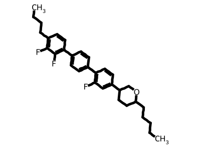 CCCCCC1CCC(c2ccc(-c3ccc(-c4ccc(CCCC)c(F)c4F)cc3)c(F)c2)CO1